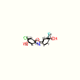 Oc1ccc(-c2nc3cc(O)c(Cl)cc3o2)cc1F